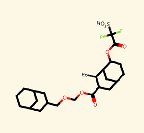 CCC1C(C(=O)OCOCC2CC3CCCC(C3)C2)CC2CCC(OC(=O)C(F)(F)S(=O)(=O)O)C1C2